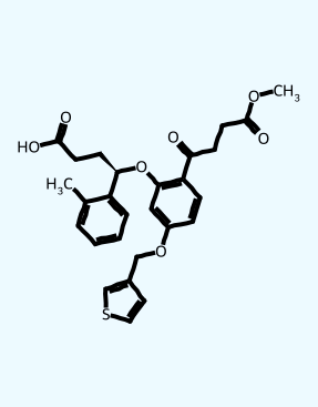 COC(=O)CCC(=O)c1ccc(OCc2ccsc2)cc1O[C@H](CCC(=O)O)c1ccccc1C